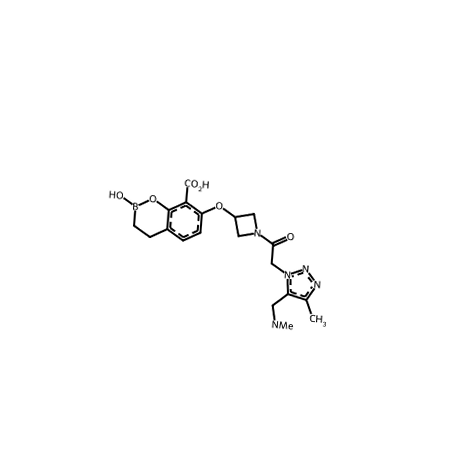 CNCc1c(C)nnn1CC(=O)N1CC(Oc2ccc3c(c2C(=O)O)OB(O)CC3)C1